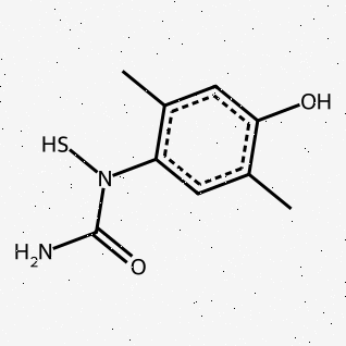 Cc1cc(N(S)C(N)=O)c(C)cc1O